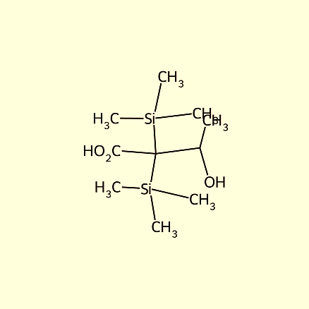 CC(O)C(C(=O)O)([Si](C)(C)C)[Si](C)(C)C